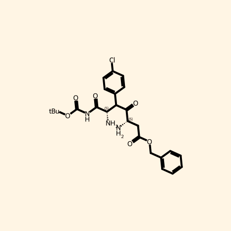 CC(C)(C)OC(=O)NC(=O)[C@@H](N)C(C(=O)[C@@H](N)CC(=O)OCc1ccccc1)c1ccc(Cl)cc1